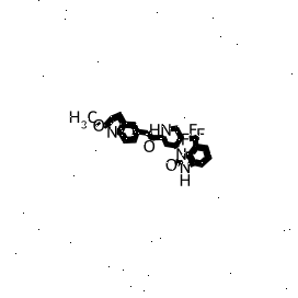 COc1ccc2cc(CC(=O)C3CC(n4c(=O)[nH]c5cccc(C(F)(F)F)c54)CCN3)ccc2n1